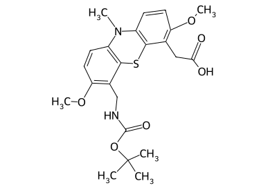 COc1ccc2c(c1CNC(=O)OC(C)(C)C)Sc1c(ccc(OC)c1CC(=O)O)N2C